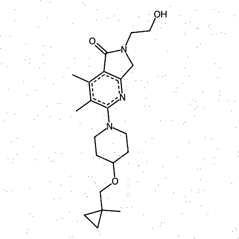 Cc1c(N2CCC(OCC3(C)CC3)CC2)nc2c(c1C)C(=O)N(CCO)C2